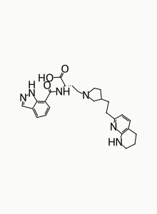 O=C(N[C@@H](CCN1CCC(CCc2ccc3c(n2)NCCC3)C1)C(=O)O)c1cccc2cn[nH]c12